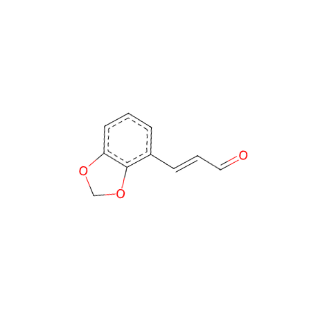 O=CC=Cc1cccc2c1OCO2